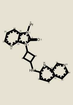 CC(C)n1c(=O)n(C2CC(Nc3ccc4ccncc4n3)C2)c2ncccc21